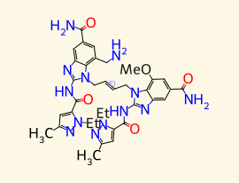 CCn1nc(C)cc1C(=O)Nc1nc2cc(C(N)=O)cc(CN)c2n1C/C=C/Cn1c(NC(=O)c2cc(C)nn2CC)nc2cc(C(N)=O)cc(OC)c21